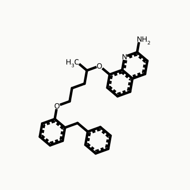 CC(CCCOc1ccccc1Cc1ccccc1)Oc1cccc2ccc(N)nc12